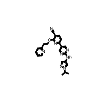 CC(C)n1cc(Nc2ncc(-c3ccc(C#N)c(OCCc4ccccn4)n3)cn2)cn1